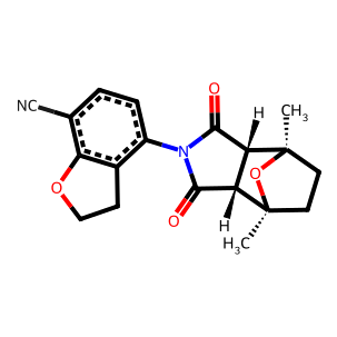 C[C@]12CC[C@](C)(O1)[C@@H]1C(=O)N(c3ccc(C#N)c4c3CCO4)C(=O)[C@@H]12